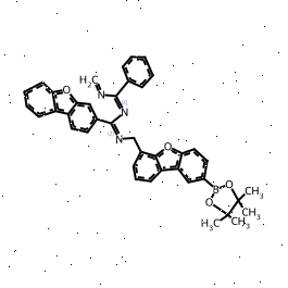 C=N/C(=N\C(=N/Cc1cccc2c1oc1ccc(B3OC(C)(C)C(C)(C)O3)cc12)c1ccc2c(c1)oc1ccccc12)c1ccccc1